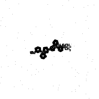 CC(C)(C)c1cccc(-n2c3ccccc3c3cc(-c4ccc5c(c4)c4ccccc4n5-c4cccc(S(C)(C)C)c4)ccc32)c1